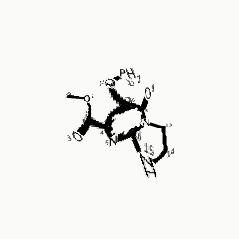 COC(=O)c1nc2n(c(=O)c1OP)CCN2